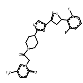 O=C(Cn1cc(C(F)(F)F)ccc1=O)N1CCC(c2ncc(C3=NOC(c4c(F)cccc4F)C3)s2)CC1